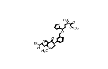 CCNc1ncc2c(n1)N(C)CCN(c1cccc(COC(CCN(C)C(=O)OC(C)(C)C)c3cccs3)c1)C2=O